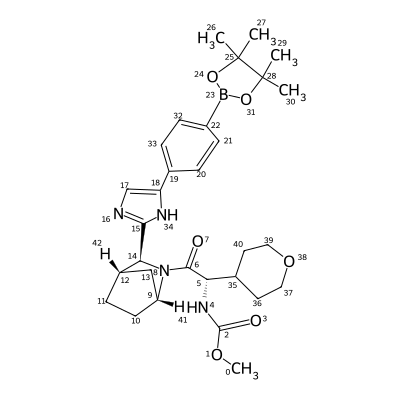 COC(=O)N[C@H](C(=O)N1[C@@H]2CC[C@@H](C2)[C@H]1c1ncc(-c2ccc(B3OC(C)(C)C(C)(C)O3)cc2)[nH]1)C1CCOCC1